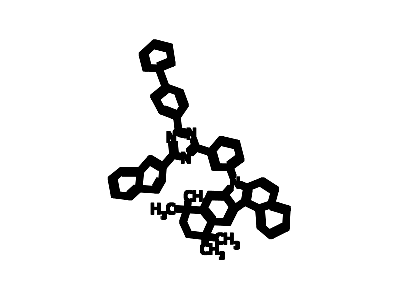 CC1(C)CCC(C)(C)c2cc3c(cc21)c1c2ccccc2ccc1n3-c1cccc(-c2nc(-c3ccc(-c4ccccc4)cc3)nc(-c3ccc4ccccc4c3)n2)c1